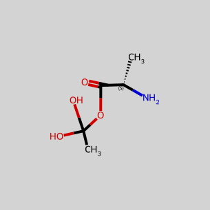 C[C@H](N)C(=O)OC(C)(O)O